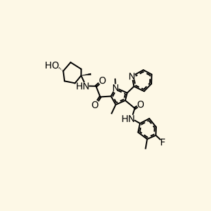 Cc1cc(NC(=O)c2c(C)c(C(=O)C(=O)N[C@]3(C)CC[C@H](O)CC3)n(C)c2-c2ccccn2)ccc1F